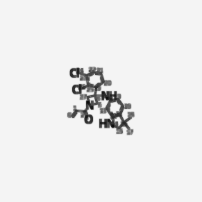 C=CC(=O)N1CC(Nc2ccc3c(c2)NCC3(C)C)(c2cccc(Cl)c2Cl)C1